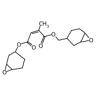 CC(=CC(=O)OC1CCC2OC2C1)C(=O)OCC1CCC2OC2C1